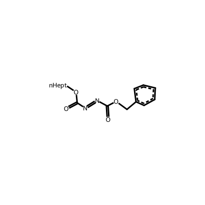 CCCCCCCOC(=O)N=NC(=O)OCc1ccccc1